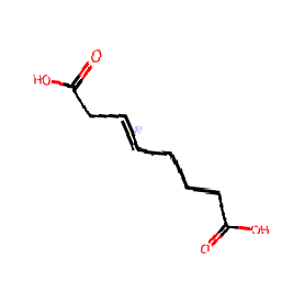 O=C(O)C/C=C/CCCC(=O)O